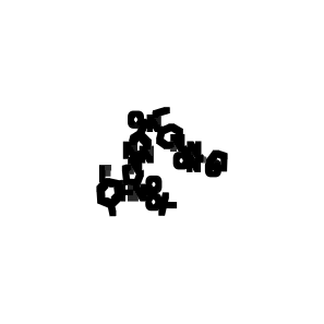 CCN(C(=O)c1cnc(N2C[C@H](NC(=O)OC(C)(C)C)[C@@H](c3cc(C)ccc3F)C2)nc1)C1CCN(c2nc([C@@H]3CCCO3)no2)CC1